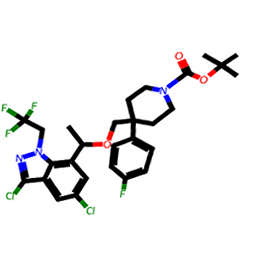 CC(OCC1(c2ccc(F)cc2)CCN(C(=O)OC(C)(C)C)CC1)c1cc(Cl)cc2c(Cl)nn(CC(F)(F)F)c12